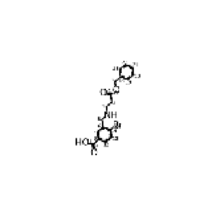 O=C(CCNCc1cc(C(=O)O)ccc1Br)OCc1ccccc1